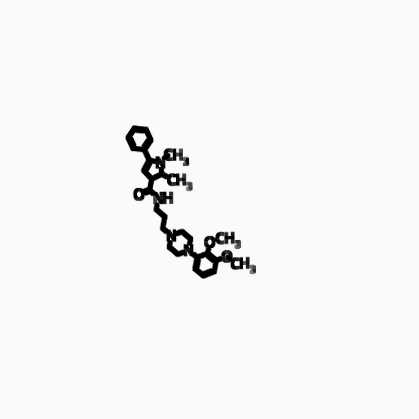 COc1cccc(N2CCN(CCCNC(=O)C3C=C(c4ccccc4)N(C)C3C)CC2)c1OC